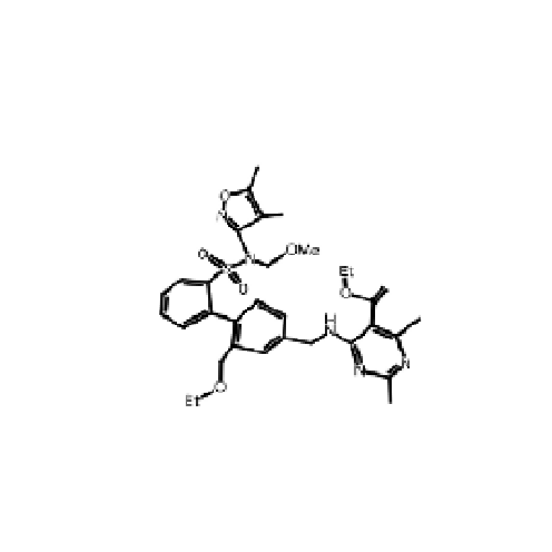 C=C(OCC)c1c(C)nc(C)nc1NCc1ccc(-c2ccccc2S(=O)(=O)N(COC)c2noc(C)c2C)c(COCC)c1